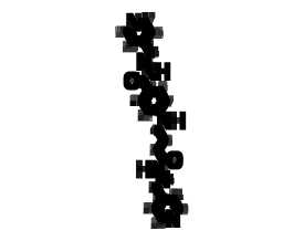 O=C(CCCNc1ccc(C(=O)NN=Cc2ccncc2)cc1)NN=Cc1ccncc1